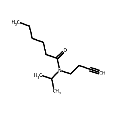 C#CCCN(C(=O)CCCCC)C(C)C